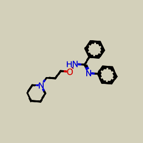 c1ccc(/N=C(/NOCCCN2CCCCC2)c2ccccc2)cc1